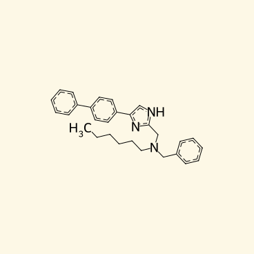 CCCCCCN(Cc1ccccc1)Cc1nc(-c2ccc(-c3ccccc3)cc2)c[nH]1